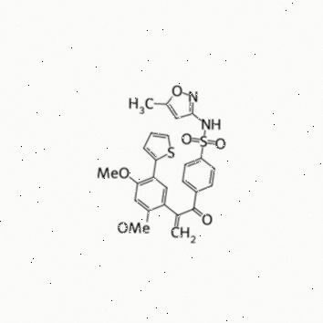 C=C(C(=O)c1ccc(S(=O)(=O)Nc2cc(C)on2)cc1)c1cc(-c2cccs2)c(OC)cc1OC